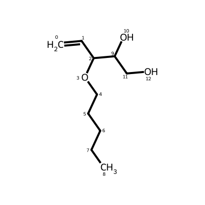 C=CC(OCCCCC)C(O)CO